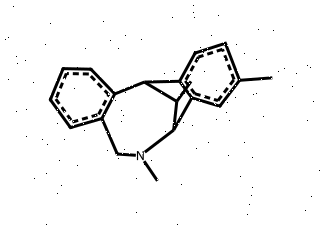 Cc1ccc2c(c1)C1C(C)C2c2ccccc2CN1C